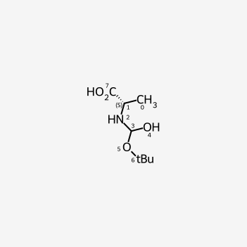 C[C@H](NC(O)OC(C)(C)C)C(=O)O